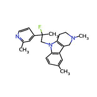 Cc1ccc2c(c1)c1c(n2CC(C)(F)c2ccnc(C)c2)CCN(C)C1